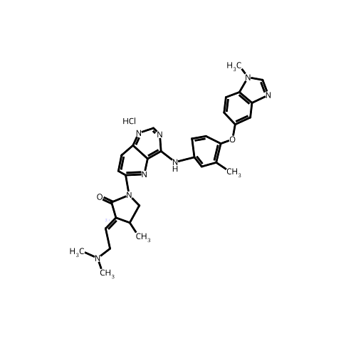 Cc1cc(Nc2ncnc3ccc(N4CC(C)/C(=C\CN(C)C)C4=O)nc23)ccc1Oc1ccc2c(c1)ncn2C.Cl